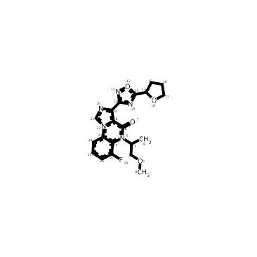 COCC(C)n1c(=O)c2c(-c3noc(C4CCCO4)n3)ncn2c2cccc(F)c21